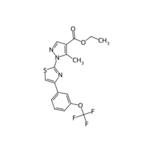 CCOC(=O)c1cnn(-c2nc(-c3cccc(OC(F)(F)F)c3)cs2)c1C